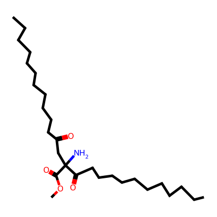 CCCCCCCCCCCC(=O)CC(N)(C(=O)CCCCCCCCCCC)C(=O)OC